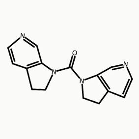 O=C(N1CCc2ccncc21)N1CCc2ccncc21